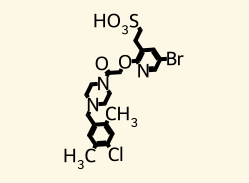 Cc1cc(CN2CCN(C(=O)COc3ncc(Br)cc3CCS(=O)(=O)O)CC2)c(C)cc1Cl